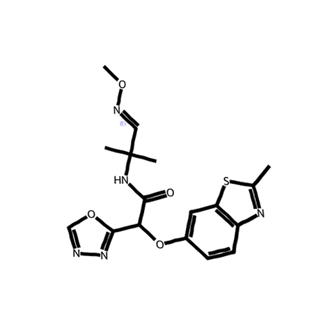 CO/N=C/C(C)(C)NC(=O)C(Oc1ccc2nc(C)sc2c1)c1nnco1